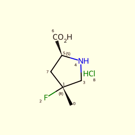 C[C@]1(F)CN[C@H](C(=O)O)C1.Cl